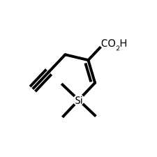 C#CCC(=C[Si](C)(C)C)C(=O)O